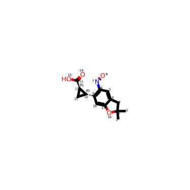 CC1(C)Cc2cc(N=O)c([C@@H]3C[C@H]3C(=O)O)cc2O1